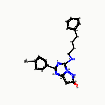 CC(C)(C)c1ccc(-c2nc(NCCCCc3ccccc3)n3[nH]c(=O)cc3n2)cc1